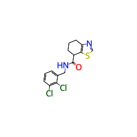 O=C(NCc1cccc(Cl)c1Cl)C1CCCc2ncsc21